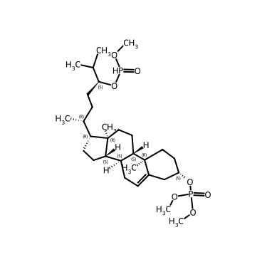 CO[PH](=O)O[C@@H](CC[C@@H](C)[C@H]1CC[C@H]2[C@@H]3CC=C4C[C@@H](OP(=O)(OC)OC)CC[C@]4(C)[C@H]3CC[C@]12C)C(C)C